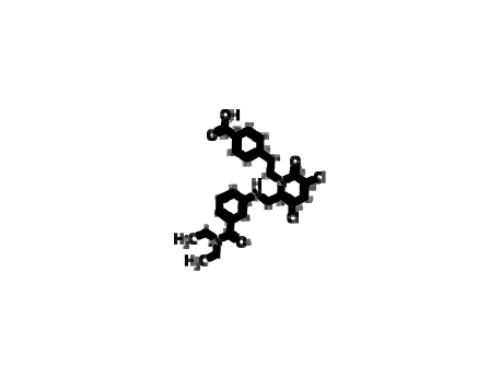 CCN(CC)C(=O)c1cccc(NCc2c(Cl)cc(Cl)c(=O)n2CCc2ccc(C(=O)O)cc2)c1